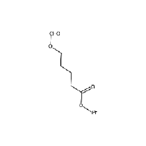 CC(C)OC(=O)CCCCOC=O